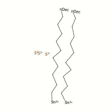 CCCCCCCCCCCCCCCCCCC[CH2][Sn+3].CCCCCCCCCCCCCCCCCCC[CH2][Sn+3].[S-2].[S-2].[S-2]